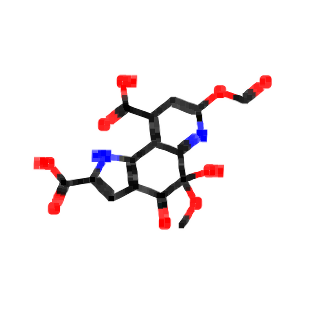 COC1(O)C(=O)c2cc(C(=O)O)[nH]c2-c2c(C(=O)O)cc(OC=O)nc21